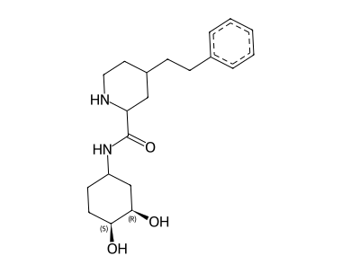 O=C(NC1CC[C@H](O)[C@H](O)C1)C1CC(CCc2ccccc2)CCN1